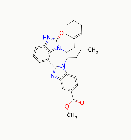 CCCCn1c(-c2cccc3[nH]c(=O)n(CCC4=CCCCC4)c23)nc2cc(C(=O)OC)ccc21